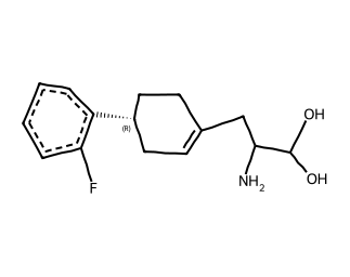 NC(CC1=CC[C@H](c2ccccc2F)CC1)C(O)O